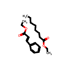 CCCCCCCC(=O)OCC.CCOC(=O)/C=C/c1ccccc1